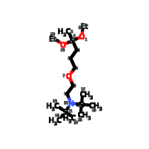 CCO[Si](C)(CCCOCCN([Si](C)(C)C)[Si](C)(C)C)OCC